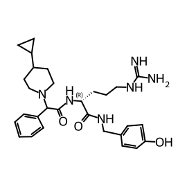 N=C(N)NCCC[C@@H](NC(=O)C(c1ccccc1)N1CCC(C2CC2)CC1)C(=O)NCc1ccc(O)cc1